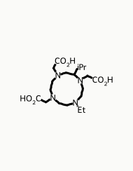 CCN1CCN(CC(=O)O)CCN(CC(=O)O)CC(C(C)C)N(CC(=O)O)CC1